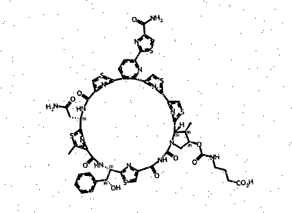 Cc1sc2nc1C(=O)N[C@@H]([C@H](O)c1ccccc1)c1nc(cs1)C(=O)NC(=O)N1C[C@H](OC(=O)NCCCC(=O)O)[C@H](C)[C@H]1c1nc(cs1)-c1nc(cs1)-c1nc(-c3nc(C(N)=O)cs3)ccc1-c1nc(cs1)C(=O)N[C@H]2CC(N)=O